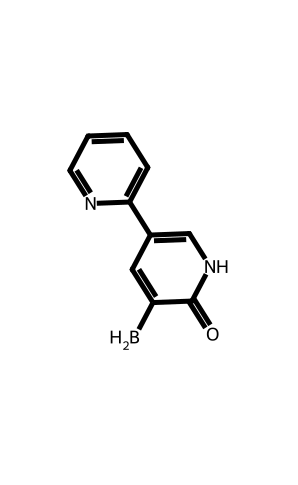 Bc1cc(-c2ccccn2)c[nH]c1=O